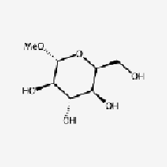 CO[C@@H]1O[C@@H](CO)[C@@H](O)[C@H](O)[C@H]1O